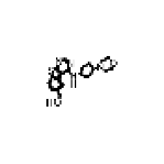 OCc1ccc2sc3ncnc(N[C@H]4CC[C@H](N5CCOCC5)CC4)c3c2c1